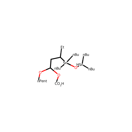 CCCCCOC(C[CH](CC)[Sn]([CH2]CCC)([CH2]CCC)[O][SnH]([CH2]CCC)[CH2]CCC)OC(=O)O